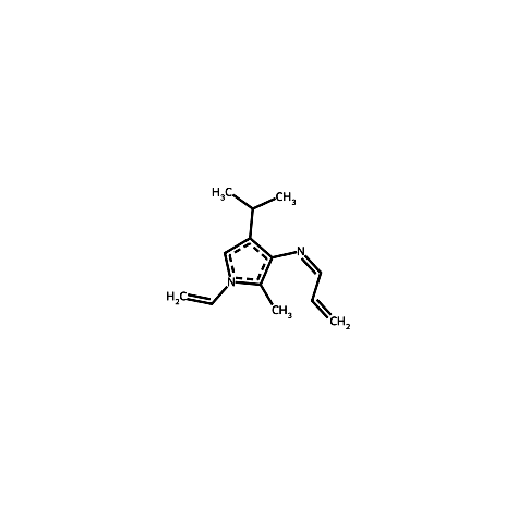 C=C/C=N\c1c(C(C)C)cn(C=C)c1C